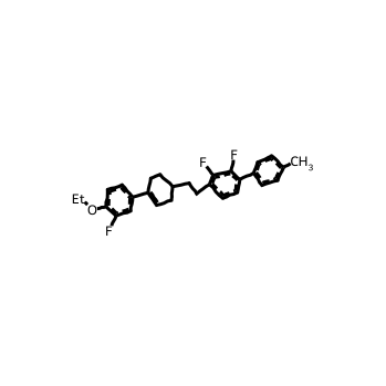 CCOc1ccc(C2=CCC(CCc3ccc(-c4ccc(C)cc4)c(F)c3F)CC2)cc1F